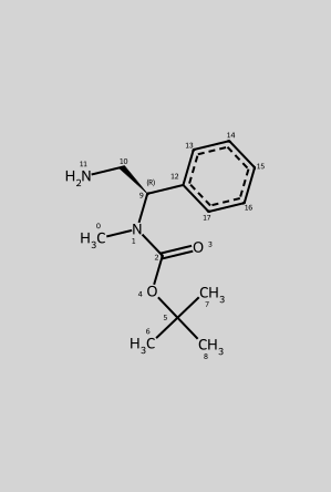 CN(C(=O)OC(C)(C)C)[C@@H](CN)c1ccccc1